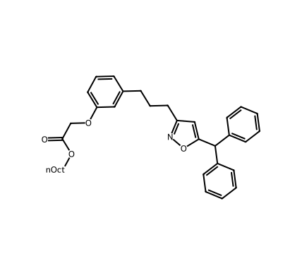 CCCCCCCCOC(=O)COc1cccc(CCCc2cc(C(c3ccccc3)c3ccccc3)on2)c1